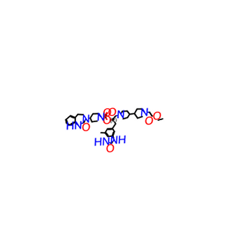 CCOC(=O)CN1CCC(C2CCN(C(=O)[C@@H](Cc3cc(C)c4[nH]c(=O)[nH]c4c3)OC(=O)N3CCC(N4CCc5ccccc5NC4=O)CC3)CC2)CC1